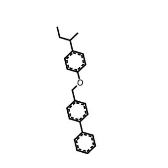 CCC(C)c1ccc(OCc2ccc(-c3ccccc3)cc2)cc1